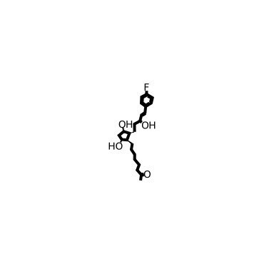 CC(=O)CCCCCC[C@@H]1[C@@H](CCC(O)C=Cc2ccc(F)cc2)[C@H](O)C[C@@H]1O